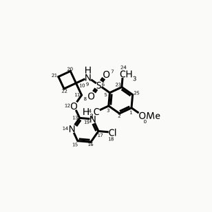 COc1cc(C)c(S(=O)(=O)NC2(COc3nccc(Cl)n3)CCC2)c(C)c1